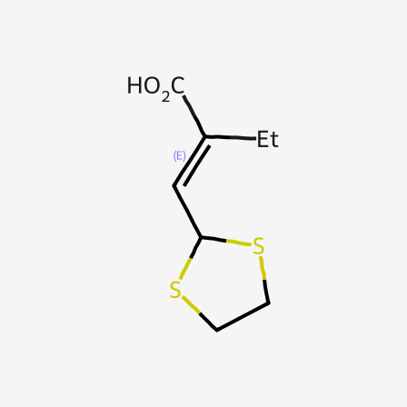 CC/C(=C\C1SCCS1)C(=O)O